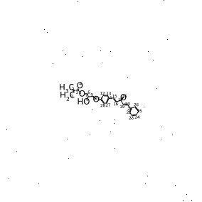 C=C(C)C(=O)OCC(O)COc1ccc(C=CC(=O)C=Cc2ccccc2)cc1